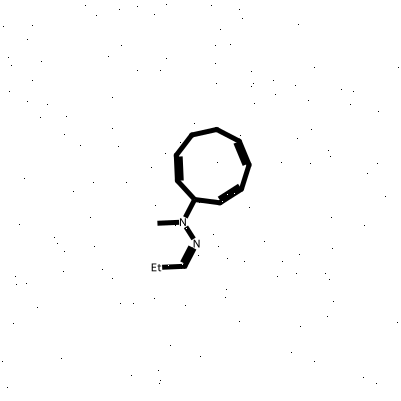 CC/C=N\N(C)C1C=C/C=C\CC/C=C\1